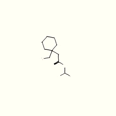 CC(C)OC(=O)CC1(CN)CCCCC1